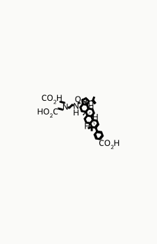 C=C(C)[C@@H]1CC[C@]2(C(=O)NCCN(CCC(=O)O)CCC(=O)O)CC[C@]3(C)[C@H](CC[C@@H]4[C@@]5(C)CC=C(c6ccc(C(=O)O)cc6)C(C)(C)[C@@H]5CC[C@]43C)[C@@H]12